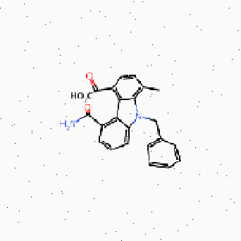 Cc1ccc(C(=O)C(=O)O)c2c3c(C(N)=O)cccc3n(Cc3ccccc3)c12